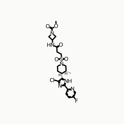 COC(=O)N1CC(NC(=O)CCS(=O)(=O)N2CC[C@@H](c3[nH]c(-c4ccc(F)cn4)nc3Cl)[C@@H](C)C2)C1